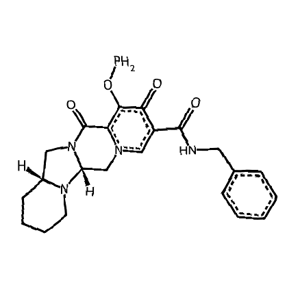 O=C(NCc1ccccc1)c1cn2c(c(OP)c1=O)C(=O)N1C[C@H]3CCCCN3[C@H]1C2